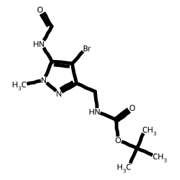 Cn1nc(CNC(=O)OC(C)(C)C)c(Br)c1NC=O